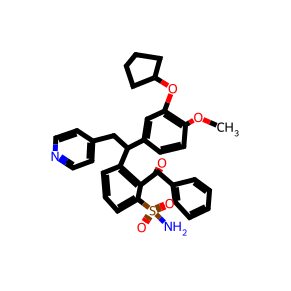 COc1ccc(C(Cc2ccncc2)c2cccc(S(N)(=O)=O)c2C(=O)c2ccccc2)cc1OC1CCCC1